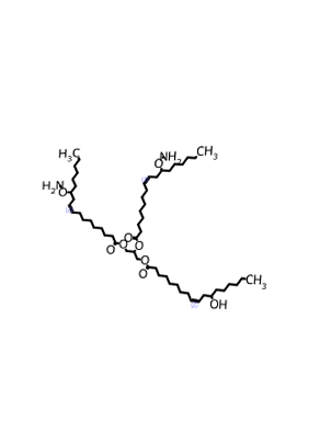 CCCCCCC(O)C/C=C\CCCCCCCC(=O)OCC(COC(=O)CCCCCCC/C=C\CC(CCCCCC)ON)OC(=O)CCCCCCC/C=C\CC(CCCCCC)ON